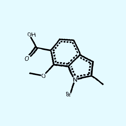 COc1c(C(=O)O)ccc2cc(C)n(Br)c12